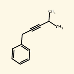 CC(C)C#CCc1ccccc1